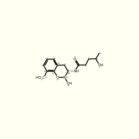 CC(O)CCC(=O)N[C@H]1Cc2cccc(C(=O)O)c2OB1O